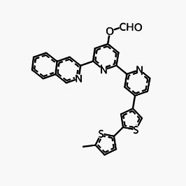 Cc1ccc(-c2cc(-c3ccnc(-c4cc(OC=O)cc(-c5cc6ccccc6cn5)n4)c3)cs2)s1